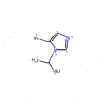 CCCCC(C)n1cncc1C(C)C